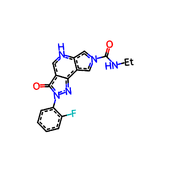 CCNC(=O)n1cc2[nH]cc3c(=O)n(-c4ccccc4F)nc-3c2c1